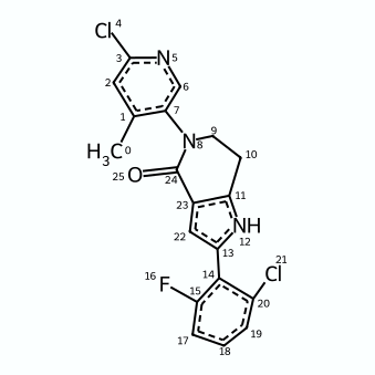 Cc1cc(Cl)ncc1N1CCc2[nH]c(-c3c(F)cccc3Cl)cc2C1=O